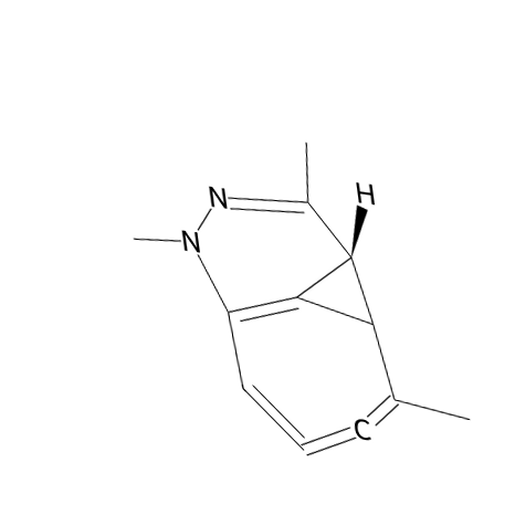 CC1=C=C=CC2=C3C1[C@H]3C(C)=NN2C